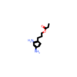 CCC(=O)OCCCc1ccc(N)cc1N